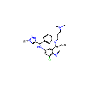 CC(C)n1cc(C(Nc2cc(Cl)c3ncc(C#N)c(NCCCN(C)C)c3c2)c2ccccc2)nn1